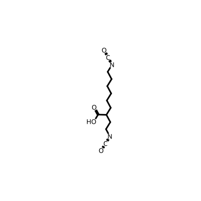 O=C=NCCCCCCC(CCN=C=O)C(=O)O